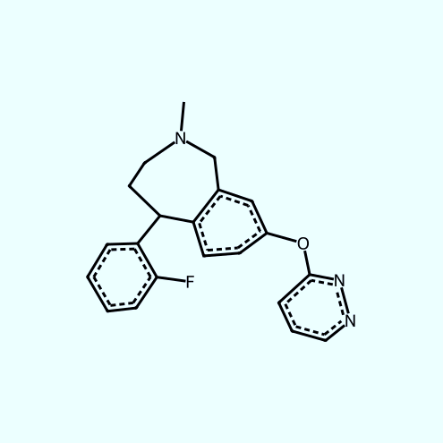 CN1CCC(c2ccccc2F)c2ccc(Oc3cccnn3)cc2C1